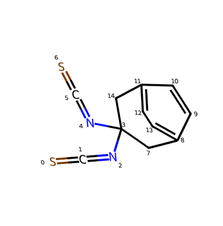 S=C=NC1(N=C=S)Cc2ccc(cc2)C1